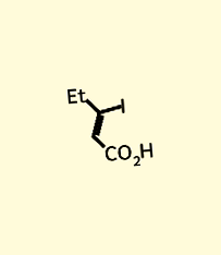 CCC(I)=CC(=O)O